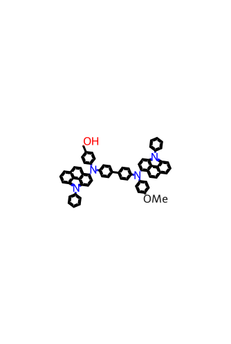 COc1ccc(N(c2ccc(-c3ccc(N(c4ccc(CO)cc4)c4ccc5c6c4ccc4cccc(c46)n5-c4ccccc4)cc3)cc2)c2ccc3c4c2ccc2cccc(c24)n3-c2ccccc2)cc1